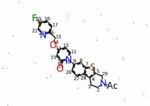 CC(=O)N1CCc2c(sc3cc(-n4ccc(OCc5ccc(F)cn5)cc4=O)ccc23)C1